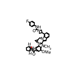 COc1cc(C(=O)N2C[C@H]3CC[C@@H]2[C@@H]3N)cc2nc(-c3cc4cccc(C5CN(C(=O)Nc6ccc(F)cc6)C5)c4n3CC3CC3)n(C)c12